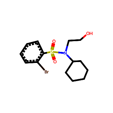 O=S(=O)(c1ccccc1Br)N(CCO)C1CCCCC1